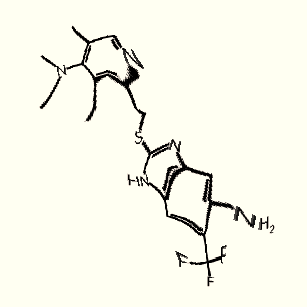 Cc1cnc(CSc2nc3cc(N)c(C(F)(F)F)cc3[nH]2)c(C)c1N(C)C